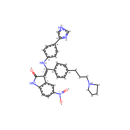 O=C1Nc2ccc([N+](=O)[O-])cc2/C1=C(/Nc1ccc(-c2c[nH]cn2)cc1)c1ccc(CCCN2CCCC2)cc1